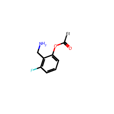 CCC(=O)Oc1cccc(F)c1CN